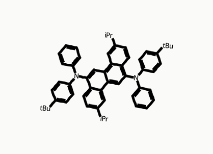 CC(C)c1ccc2c(N(c3ccccc3)c3ccc(C(C)(C)C)cc3)cc3c4cc(C(C)C)ccc4c(N(c4ccccc4)c4ccc(C(C)(C)C)cc4)cc3c2c1